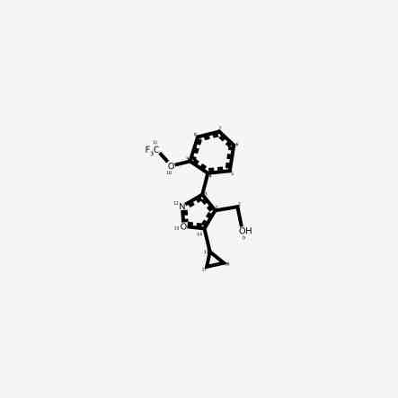 OCc1c(-c2ccccc2OC(F)(F)F)noc1C1CC1